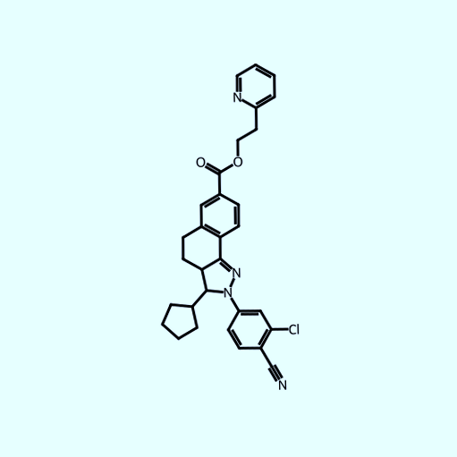 N#Cc1ccc(N2N=C3c4ccc(C(=O)OCCc5ccccn5)cc4CCC3C2C2CCCC2)cc1Cl